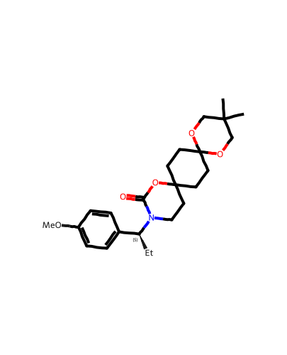 CC[C@@H](c1ccc(OC)cc1)N1CCC2(CCC3(CC2)OCC(C)(C)CO3)OC1=O